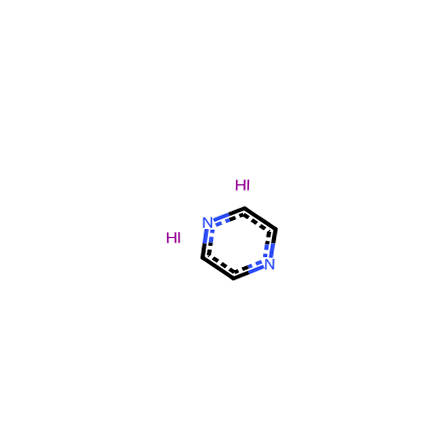 I.I.c1cnccn1